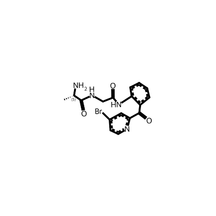 C[C@H](N)C(=O)NCC(=O)Nc1ccccc1C(=O)c1cc(Br)ccn1